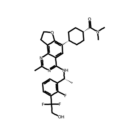 Cc1nc(N[C@H](C)c2cccc(C(F)(F)CO)c2F)c2cc([C@H]3CC[C@@H](C(=O)N(C)C)CC3)c3c(c2n1)CCO3